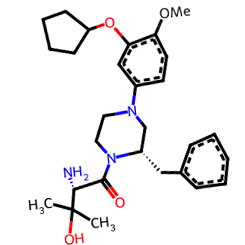 COc1ccc(N2CCN(C(=O)[C@@H](N)C(C)(C)O)[C@@H](Cc3ccccc3)C2)cc1OC1CCCC1